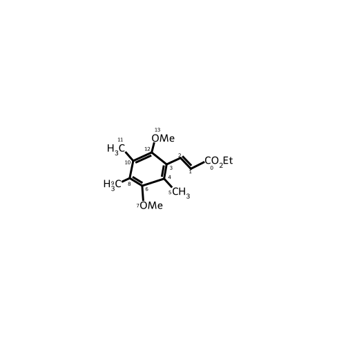 CCOC(=O)C=Cc1c(C)c(OC)c(C)c(C)c1OC